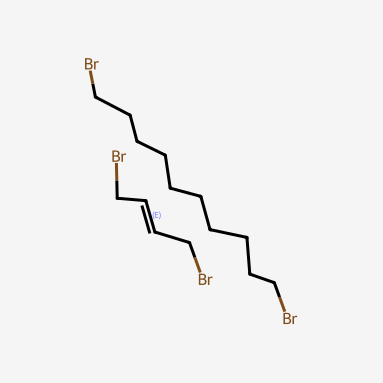 BrC/C=C/CBr.BrCCCCCCCCCCBr